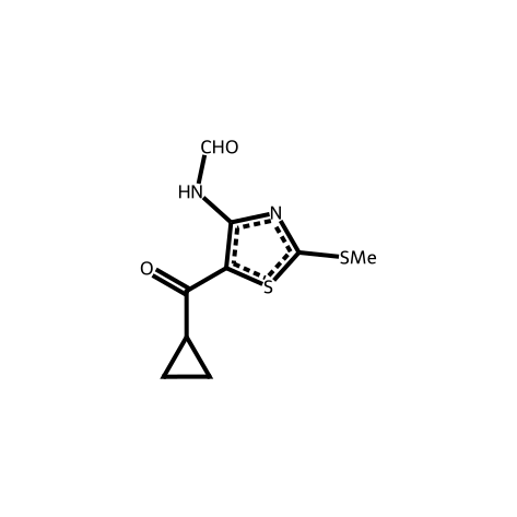 CSc1nc(NC=O)c(C(=O)C2CC2)s1